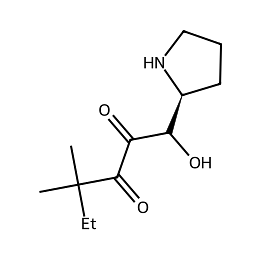 CCC(C)(C)C(=O)C(=O)C(O)[C@@H]1CCCN1